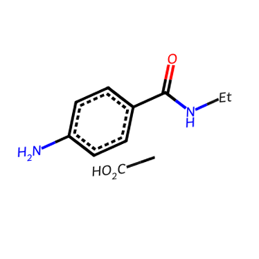 CC(=O)O.CCNC(=O)c1ccc(N)cc1